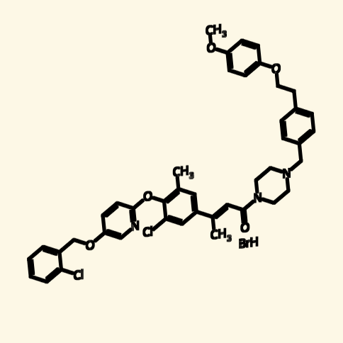 Br.COc1ccc(OCCc2ccc(CN3CCN(C(=O)/C=C(\C)c4cc(C)c(Oc5ccc(OCc6ccccc6Cl)cn5)c(Cl)c4)CC3)cc2)cc1